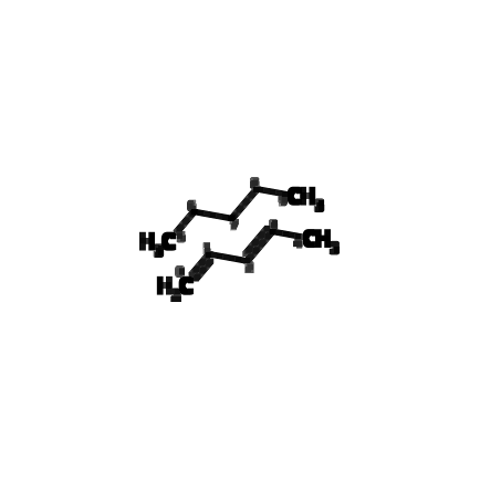 C=CC=CC.CCCCC